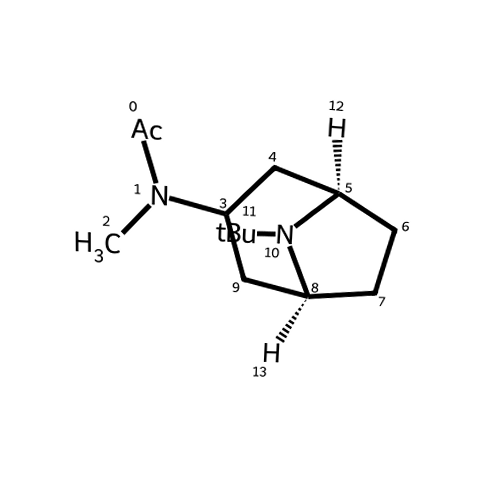 CC(=O)N(C)C1C[C@H]2CC[C@@H](C1)N2C(C)(C)C